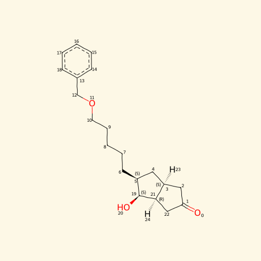 O=C1C[C@@H]2C[C@H](CCCCCOCc3ccccc3)[C@H](O)[C@@H]2C1